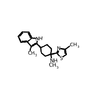 CNC1(c2nc(C)cs2)CCC(c2[nH]c3ccccc3c2C)CC1